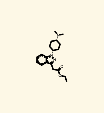 CCOC(=O)Cc1nn([C@H]2CC[C@@H](N(C)C)CC2)c2ccccc12